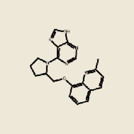 Cc1ccc2cccc(OCC3CCCN3c3ncnc4[nH]cnc34)c2n1